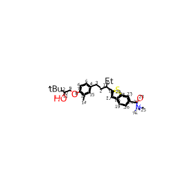 CCC(CCc1ccc(OCC(O)C(C)(C)C)c(C)c1)c1cc2ccc(C(=O)N(C)C)cc2s1